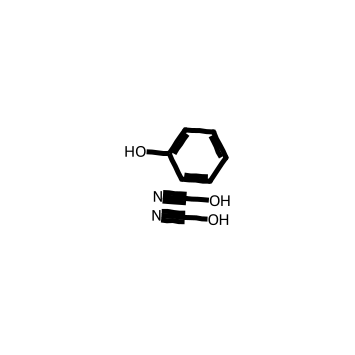 N#CO.N#CO.Oc1ccccc1